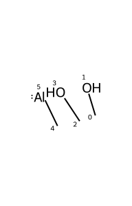 CO.CO.[CH3][Al]